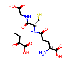 CCC(=O)C(=O)O.N[C@@H](CCC(=O)N[C@@H](CS)C(=O)NCC(=O)O)C(=O)O